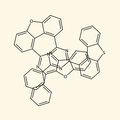 c1ccc(-c2nc(-c3cccc4sc5ccccc5c34)nc(-c3cccc4oc5cccc(-c6nc(-c7ccccc7)c7oc8ccccc8c7n6)c5c34)n2)cc1